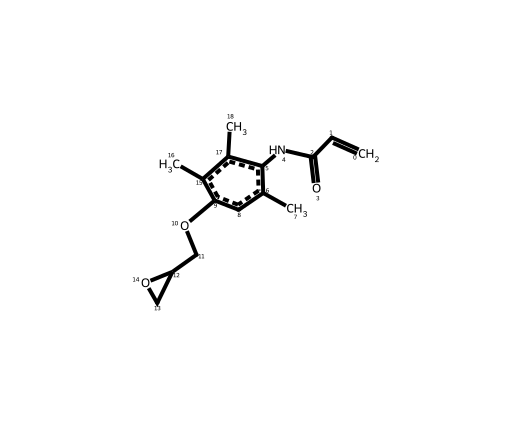 C=CC(=O)Nc1c(C)cc(OCC2CO2)c(C)c1C